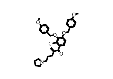 C=C(CCCN1CCCC1)C(=O)c1ccc(OCc2ccc(OC)cc2)c(OCc2ccc(OC)cc2)c1Cl